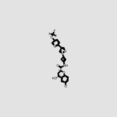 O=C(NC12CC(n3cc(-c4ccc(OC(F)(F)F)cn4)cn3)(C1)C2)[C@@H]1C[C@@H](O)c2cc(Cl)ccc2O1